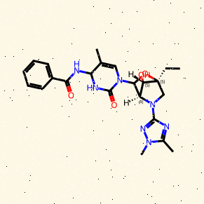 CC[C@@]12CN(c3nc(C)n(C)n3)[C@@H](C(N3C=C(C)C(NC(=O)c4ccccc4)NC3=O)O1)[C@@H]2O